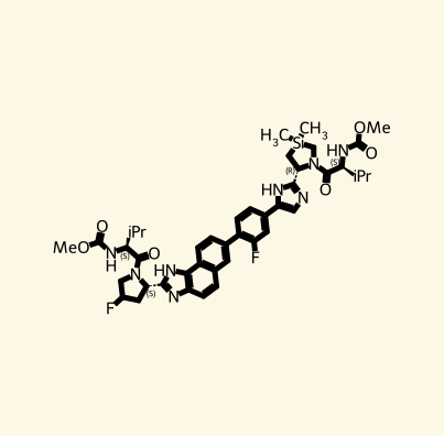 COC(=O)N[C@H](C(=O)N1C[Si](C)(C)C[C@H]1c1ncc(-c2ccc(-c3ccc4c(ccc5nc([C@@H]6CC(F)CN6C(=O)[C@@H](NC(=O)OC)C(C)C)[nH]c54)c3)c(F)c2)[nH]1)C(C)C